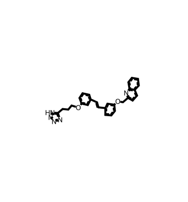 C(=Cc1cccc(OCc2ccc3ccccc3n2)c1)c1cccc(OCCCc2nnn[nH]2)c1